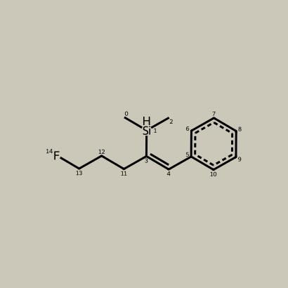 C[SiH](C)C(=Cc1ccccc1)CCCF